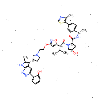 Cc1ncsc1-c1ccc([C@H](C)NC(=O)[C@@H]2C[C@@H](O)CN2C(=O)[C@@H](c2cc(OCCN3CC[C@H](c4c(C)[nH]c5nnc(-c6ccccc6O)cc45)C3)no2)C(C)C)cc1